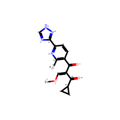 CCOC=C(C(=O)c1ccc(-c2nc[nH]n2)nc1C(F)(F)F)C(=O)C1CC1